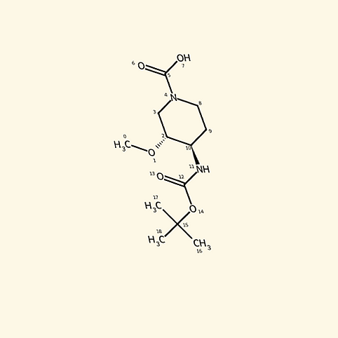 CO[C@@H]1CN(C(=O)O)CC[C@H]1NC(=O)OC(C)(C)C